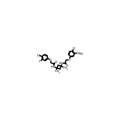 COc1cc(OCC(=O)NC2(C)CC(C)(NC(=O)COc3ccc(Cl)c(F)c3)C2)ccc1Cl